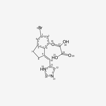 Brc1ccc2c(c1)CCC2=Cc1cnc[nH]1.O=C(O)C(=O)O